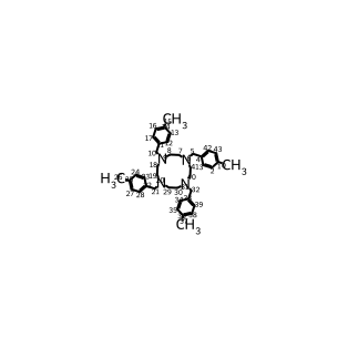 Cc1ccc(CN2CCN(Cc3ccc(C)cc3)CCN(Cc3ccc(C)cc3)CCN(Cc3ccc(C)cc3)CC2)cc1